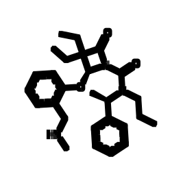 CCCN(C(=O)N1C(=O)C(CC)(CC)[C@@H]1Oc1ccccc1CNC)[C@H](C)c1ccccc1